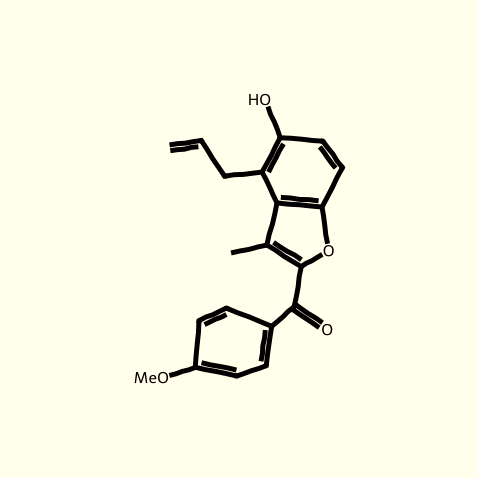 C=CCc1c(O)ccc2oc(C(=O)c3ccc(OC)cc3)c(C)c12